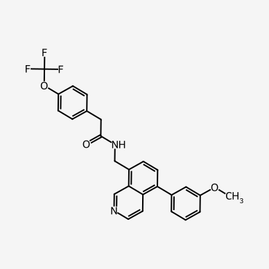 COc1cccc(-c2ccc(CNC(=O)Cc3ccc(OC(F)(F)F)cc3)c3cnccc23)c1